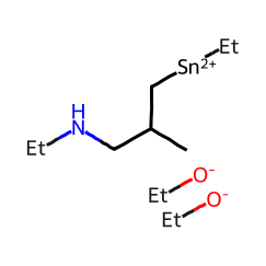 CCNCC(C)[CH2][Sn+2][CH2]C.CC[O-].CC[O-]